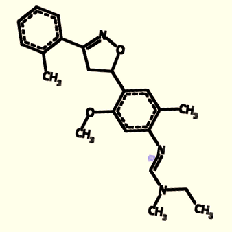 CCN(C)/C=N/c1cc(OC)c(C2CC(c3ccccc3C)=NO2)cc1C